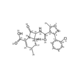 Cc1onc(-c2ccccc2Cl)c1C(=O)NC1C(=O)N2C(C(=O)O)=CC(C)S[C@@H]12